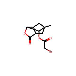 CC12CC3C(=O)OC(C3C1)C2OC(=O)CBr